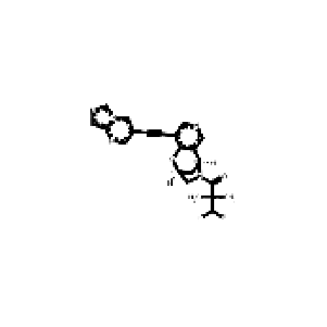 CC(C)(C(=O)N1C[C@@H]2C[C@H]1c1cncc(C#Cc3cnc4cncn4c3)c1O2)C(F)F